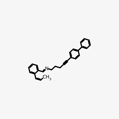 C/C=C\c1ccccc1/C=N/CCCC#Cc1ccc(-c2ccccc2)cc1